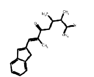 [3H]C(C)C(C)C(C)CC(=O)/C(C)=C/C1=Cc2ccccc2C1